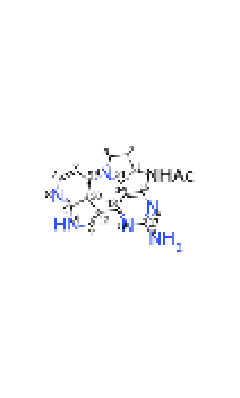 CC(=O)NC1CCN(c2ccnc3[nH]cc(-c4ccnc(N)n4)c23)C1